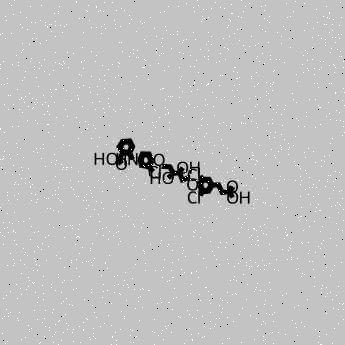 O=C(O)CCc1cc(Cl)c(OCCC(O)C(O)CCOc2ccc(Nc3ccccc3C(=O)O)cc2Cl)c(Cl)c1